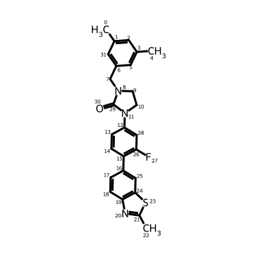 Cc1cc(C)cc(CN2CCN(c3ccc(-c4ccc5nc(C)sc5c4)c(F)c3)C2=O)c1